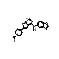 FC(F)N1CC=C(c2cc3c(Nc4ccc5scnc5c4)ncnc3s2)CC1